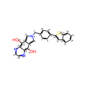 Oc1c2cn(Cc3ccc(-c4cc5ccccc5s4)cc3)cc2c(O)c2nccnc12